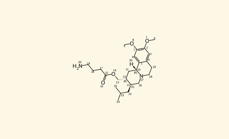 COc1cc2c(cc1OC)[C@H]1C[C@@H](COC(=O)CCCN)[C@H](CC(C)C)CN1CC2